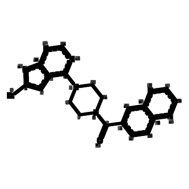 CCc1cc2c(N3CCN(C(=O)c4ccc5nccnc5c4)CC3)ncnc2s1